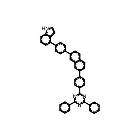 c1ccc(-c2nc(-c3ccccc3)nc(-c3ccc(-c4ccc5ccc(-c6ccc(-c7cccc8[nH]ccc78)cc6)cc5c4)cc3)n2)cc1